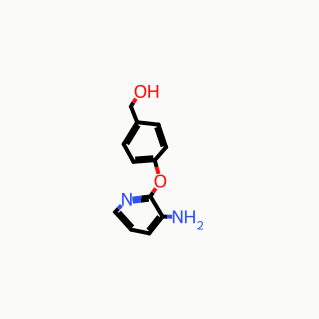 Nc1cccnc1Oc1ccc(CO)cc1